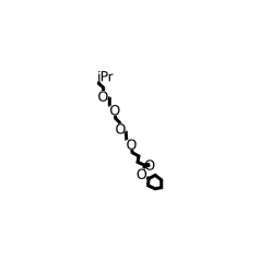 CC(C)CCOCCOCCOCCOCCCC(=O)OC1CCCCC1